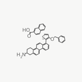 NC1CCc2c(ccc3c2ccc2c(-c4sccc4OCc4ccccc4)cccc23)C1.O=C(O)c1ccc2ccccc2c1